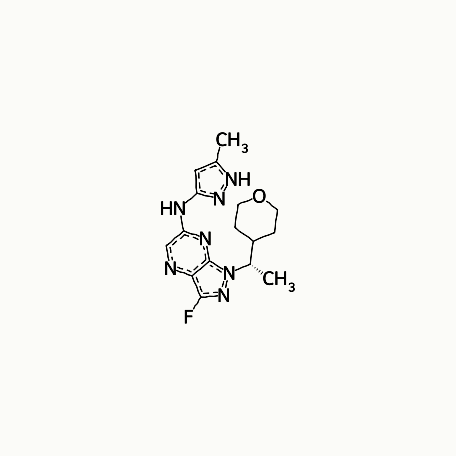 Cc1cc(Nc2cnc3c(F)nn([C@@H](C)C4CCOCC4)c3n2)n[nH]1